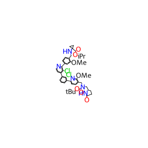 COc1cc(-c2nccc(-c3cccc(-c4ccc(CN(CC5CCC(=O)N5)C(=O)OC(C)(C)C)c(OC)n4)c3Cl)c2Cl)ccc1CNC1(C(=O)OC(C)C)CC1